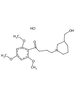 COc1cc(OC)c(C(=O)CCCN2CCCC(CO)C2)c(OC)c1.Cl